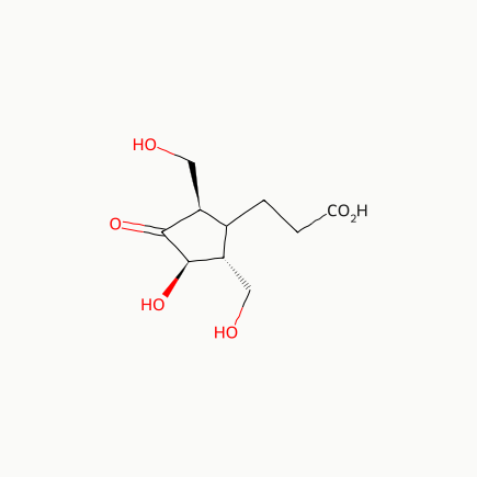 O=C(O)CCC1[C@H](CO)C(=O)[C@H](O)[C@H]1CO